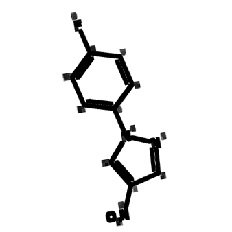 O=[N+]([O-])c1cnn(-c2ccc(F)cc2)c1